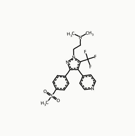 CN(C)CCn1nc(-c2ccc(S(C)(=O)=O)cc2)c(-c2ccncc2)c1C(F)(F)F